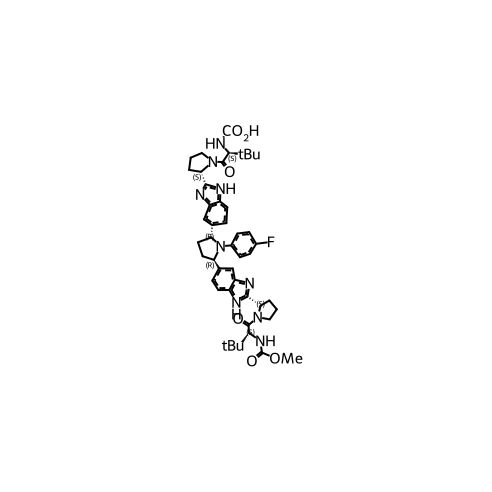 COC(=O)N[C@H](C(=O)N1CCC[C@H]1c1nc2cc([C@H]3CC[C@H](c4ccc5[nH]c([C@@H]6CCCN6C(=O)[C@@H](NC(=O)O)C(C)(C)C)nc5c4)N3c3ccc(F)cc3)ccc2[nH]1)C(C)(C)C